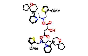 COc1ccsc1CN(CC[C@@]1(c2ccccn2)CCOC2(CCCC2)C1)OC(=O)CC(O)C(=O)ON(CC[C@@]1(c2ccccn2)CCOC2(CCCC2)C1)Cc1sccc1OC